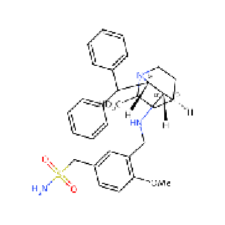 COc1ccc(CS(N)(=O)=O)cc1CN[C@H]1[C@H]2CCN(C(C(=O)O)C2)[C@H]1C(c1ccccc1)c1ccccc1